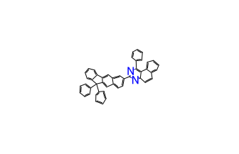 c1ccc(-c2nc(-c3ccc4cc5c(cc4c3)-c3ccccc3C5(c3ccccc3)c3ccccc3)nc3ccc4ccccc4c23)cc1